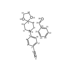 N#Cc1ccc(N2CCC3(CC2)OCCO3)cc1.O=Cc1ccccc1